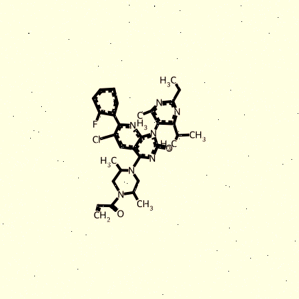 C=CC(=O)N1CC(C)N(c2nc(=O)n(-c3c(C)nc(CC)nc3C(C)C)c3nc(-c4ccccc4F)c(Cl)cc23)CC1C